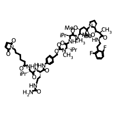 CC[C@H](C)C([C@@H](CC(=O)N1CCC[C@H]1[C@H](OC)[C@@H](C)C(=O)NCCc1c(F)cccc1F)OC)N(C)C(=O)[C@@H](NC(=O)[C@H](C(C)C)N(C)C(=O)OCc1ccc(NC(=O)[C@H](CCCNC(N)=O)NC(=O)[C@@H](NC(=O)CCCCCN2C(=O)C=CC2=O)C(C)C)cc1)C(C)C